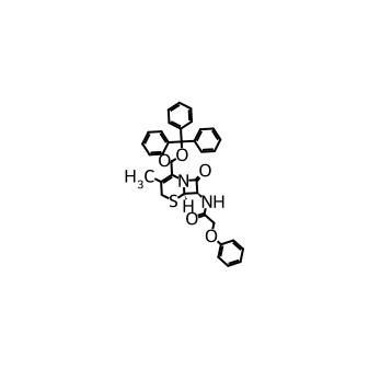 CC1=C(C(=O)OC(c2ccccc2)(c2ccccc2)c2ccccc2)N2C(=O)[C@@H](NC(=O)COc3ccccc3)[C@H]2SC1